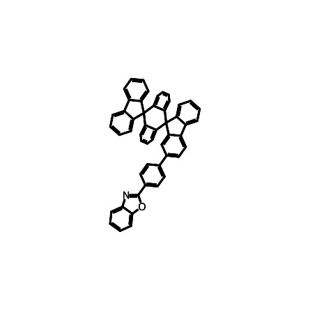 c1ccc2c(c1)-c1ccccc1C21c2ccccc2C2(c3ccccc3-c3ccc(-c4ccc(-c5nc6ccccc6o5)cc4)cc32)c2ccccc21